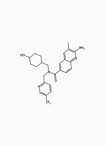 Cc1cc2cc(C(=O)N(Cc3ccc(C(F)(F)F)cn3)CC3CCC(O)CC3)ccc2nc1N